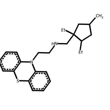 CCC1CC(C)CC1(CC)CNCCN1c2ccccc2Sc2ccccc21